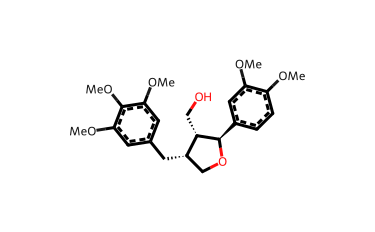 COc1ccc([C@H]2OC[C@H](Cc3cc(OC)c(OC)c(OC)c3)[C@@H]2CO)cc1OC